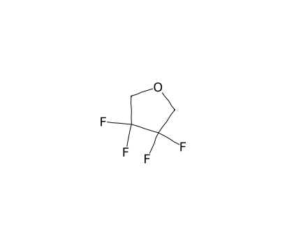 FC1(F)COCC1(F)F